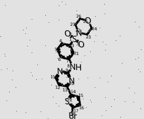 O=S(=O)(c1cccc(Nc2nccc(-c3ccc(Br)s3)n2)c1)N1CCOCC1